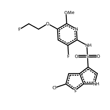 COc1nc(NS(=O)(=O)c2c[nH]c3sc(Cl)cc23)c(F)cc1OCCF